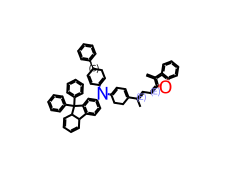 C=c1/c(=C\C=C(/C)C2=CC=C(N(C3=CC[C@H](c4ccccc4)C=C3)c3ccc4c(c3)C(c3ccccc3)(c3ccccc3)C3C=CC=CC43)CC2)oc2ccccc12